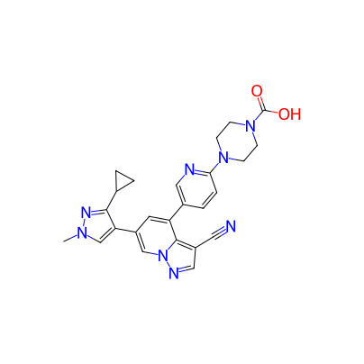 Cn1cc(-c2cc(-c3ccc(N4CCN(C(=O)O)CC4)nc3)c3c(C#N)cnn3c2)c(C2CC2)n1